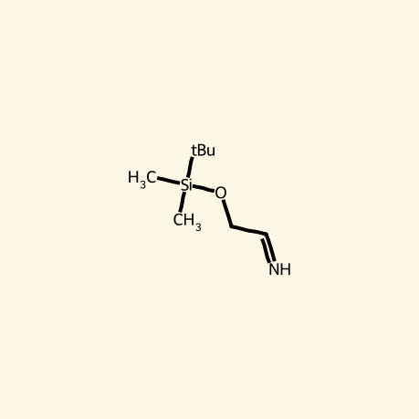 CC(C)(C)[Si](C)(C)OCC=N